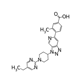 CCc1cnc(N2CCC(n3nnc4cc(-c5ccc(C(=O)O)cc5C)ncc43)CC2)nc1